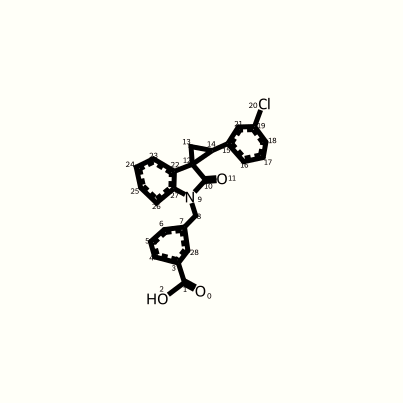 O=C(O)c1cccc(CN2C(=O)C3(CC3c3cccc(Cl)c3)c3ccccc32)c1